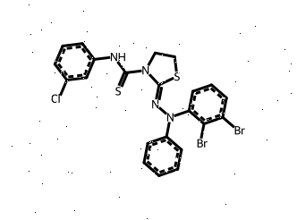 S=C(Nc1cccc(Cl)c1)N1CCS/C1=N\N(c1ccccc1)c1cccc(Br)c1Br